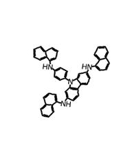 c1ccc2c(Nc3ccc(-n4c5cc(Nc6cccc7ccccc67)ccc5c5ccc(Nc6cccc7ccccc67)cc54)cc3)cccc2c1